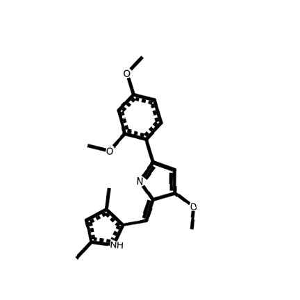 COC1=CC(c2ccc(OC)cc2OC)=NC1=Cc1[nH]c(C)cc1C